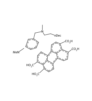 CCCCCCCCCCCCN(C)Cc1ccccc1.CNC.O=C(O)c1ccc2c3ccc(C(=O)O)c4c(C(=O)O)ccc(c5ccc(C(=O)O)c1c25)c43